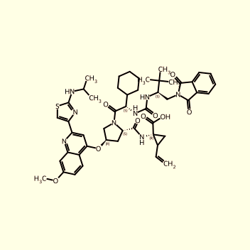 C=CC1C[C@]1(NC(=O)[C@@H]1C[C@@H](Oc2cc(-c3csc(NC(C)C)n3)nc3cc(OC)ccc23)CN1C(=O)[C@@H](NC(=O)N[C@H](CN1C(=O)c2ccccc2C1=O)C(C)(C)C)C1CCCCC1)C(=O)O